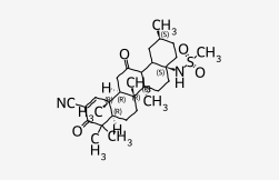 C[C@H]1CC[C@]2(NS(C)(=O)=O)CC[C@]3(C)C(C(=O)C[C@@H]4[C@@]5(C)C=C(C#N)C(=O)C(C)(C)[C@@H]5CC[C@]43C)C2C1